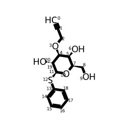 C#CCO[C@H]1[C@@H](O)[C@@H](CO)O[C@@H](Sc2ccccc2)[C@@H]1O